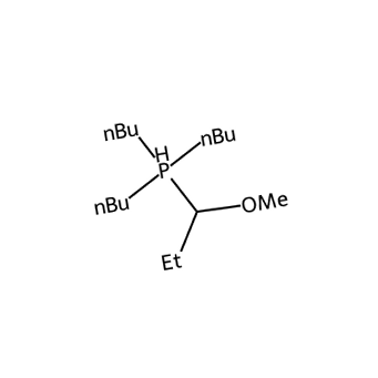 CCCC[PH](CCCC)(CCCC)C(CC)OC